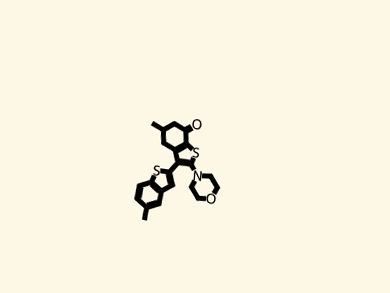 Cc1ccc2sc(-c3c(N4CCOCC4)sc4c3CC(C)CC4=O)cc2c1